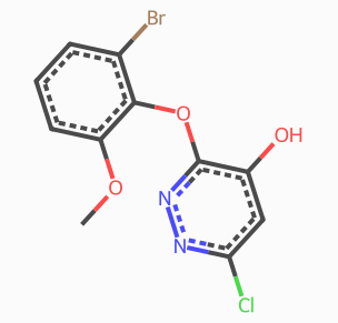 COc1cccc(Br)c1Oc1nnc(Cl)cc1O